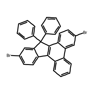 Brc1ccc2c(c1)C(c1ccccc1)(c1ccccc1)c1c-2c2ccccc2c2cc(Br)ccc12